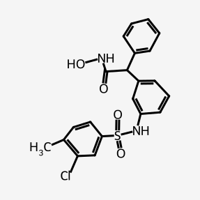 Cc1ccc(S(=O)(=O)Nc2cccc(C(C(=O)NO)c3ccccc3)c2)cc1Cl